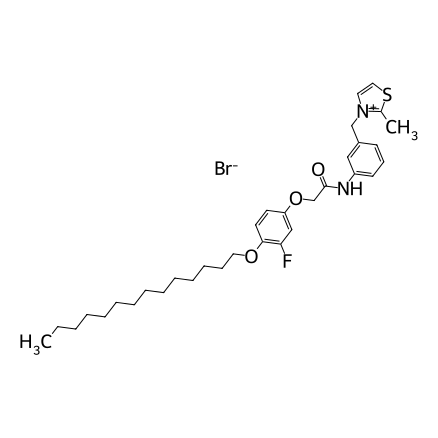 CCCCCCCCCCCCCCOc1ccc(OCC(=O)Nc2cccc(C[n+]3ccsc3C)c2)cc1F.[Br-]